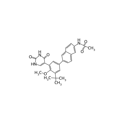 COc1c(-c2c[nH]c(=O)[nH]c2=O)cc(-c2ccc3cc(NS(C)(=O)=O)ccc3c2)cc1C(C)(C)C